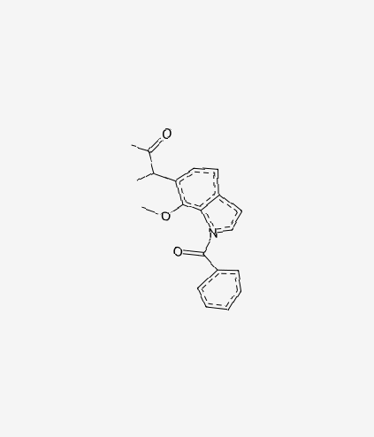 COc1c(C(C)C(C)=O)ccc2ccn(C(=O)c3ccccc3)c12